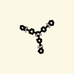 c1ccc2sc(-c3ccc(-c4cc(-c5ccc(-c6nc7ccccc7s6)cc5)nc(-c5ccc(-c6nc7ccccc7s6)cc5)n4)cc3)nc2c1